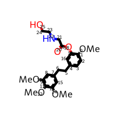 COc1ccc(CCc2cc(OC)c(OC)c(OC)c2)cc1OC(=O)CNCCO